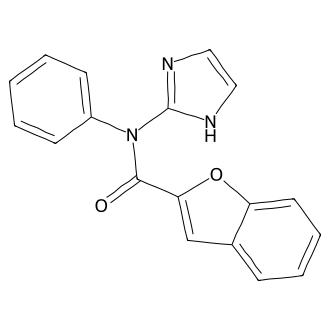 O=C(c1cc2ccccc2o1)N(c1ccccc1)c1ncc[nH]1